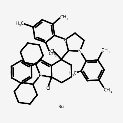 Cc1cc(C)c(N2CCN(c3c(C)cc(C)cc3C)C2C2(Cl)CCCC(Cl)(P(C3CCCCC3)C3CCCCC3)C2=Cc2ccccc2)c(C)c1.[Ru]